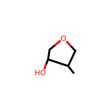 CC1COCC1O